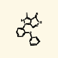 Cc1[nH]c(-c2ccccc2Oc2ccccc2)c2cn[nH]c(=O)c12